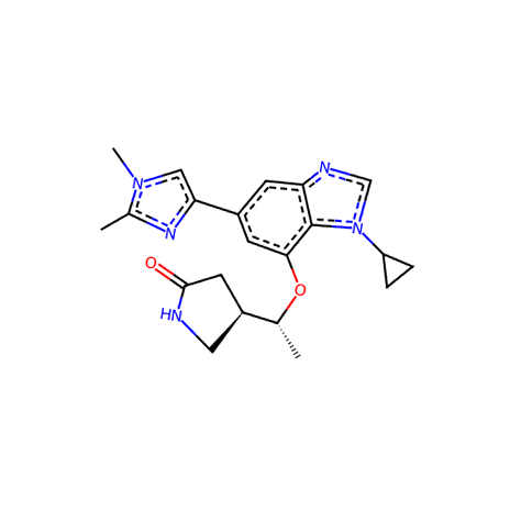 Cc1nc(-c2cc(O[C@H](C)[C@H]3CNC(=O)C3)c3c(c2)ncn3C2CC2)cn1C